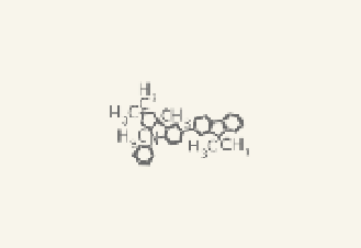 CC1(C)CC2(C)c3cc(-c4ccc5c(c4)C(C)(C)c4ccccc4-5)ccc3N(c3ccccc3)C2(C)C1